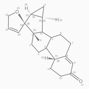 C[C@]12CCC3C(CCC4=CC(=O)CC[C@@H]43)C1[C@@H]1C[C@@H]1[C@@]21C=CCO1